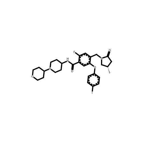 C[C@H]1CC(=O)N(Cc2cc(F)c(C(=O)NC3CCN(C4CCOCC4)CC3)cc2Oc2ccc(I)cc2)C1